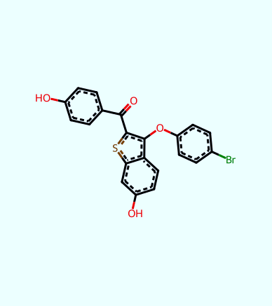 O=C(c1ccc(O)cc1)c1sc2cc(O)ccc2c1Oc1ccc(Br)cc1